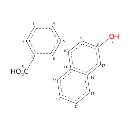 O=C(O)c1ccccc1.Oc1ccc2ccccc2c1